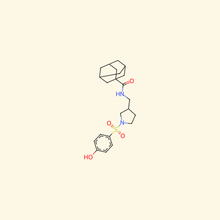 O=C(NCC1CCN(S(=O)(=O)c2ccc(O)cc2)C1)C12CC3CC(CC(C3)C1)C2